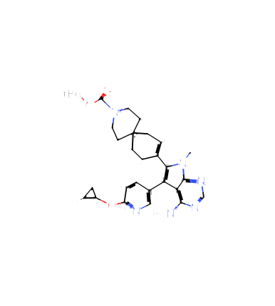 Cn1c(C2=CCC3(CC2)CCN(C(=O)OC(C)(C)C)CC3)c(-c2ccc(OC3CC3)nc2)c2c(N)ncnc21